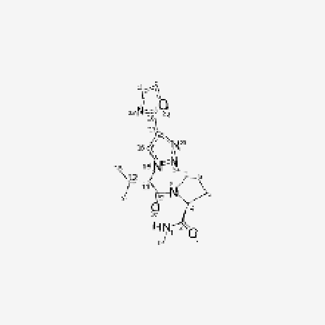 CNC(=O)[C@@H]1CCCN1C(=O)[C@H](C(C)C)n1cc(-c2ncco2)nn1